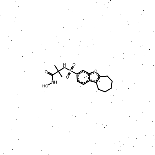 CC(C)(NS(=O)(=O)c1ccc2c3c(oc2c1)CCCCC3)C(=O)NO